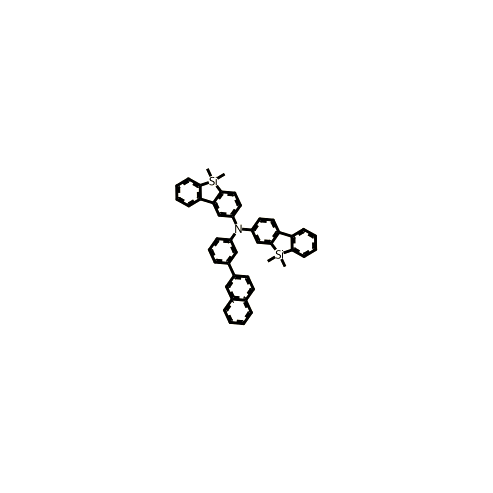 C[Si]1(C)c2ccccc2-c2cc(N(c3cccc(-c4ccc5ccccc5c4)c3)c3ccc4c(c3)[Si](C)(C)c3ccccc3-4)ccc21